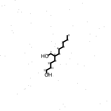 CCCCCCC(CO)CCCCO